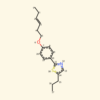 CCC=CCCOc1ccc(-c2ncc(CCC)s2)cc1